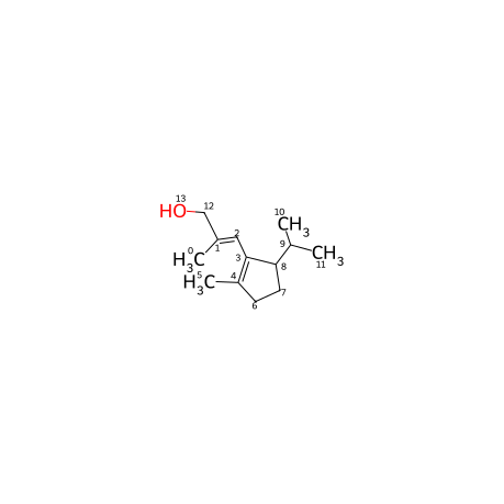 CC(=CC1=C(C)CCC1C(C)C)CO